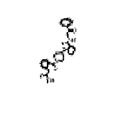 O=C(O)Cc1ccccc1C(=O)N1CCC(Oc2ccccc2C(=O)NCC(=O)c2ccccc2)CC1